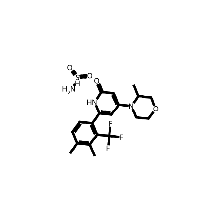 Cc1ccc(-c2cc(N3CCOCC3C)cc(=O)[nH]2)c(C(F)(F)F)c1C.N[SH](=O)=O